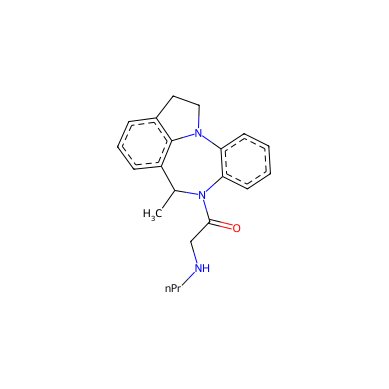 CCCNCC(=O)N1c2ccccc2N2CCc3cccc(c32)C1C